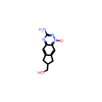 Nc1nc2cc3c(cc2[n+]([O-])n1)CC(CO)C3